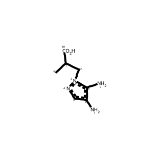 CC(Cn1ncc(N)c1N)C(=O)O